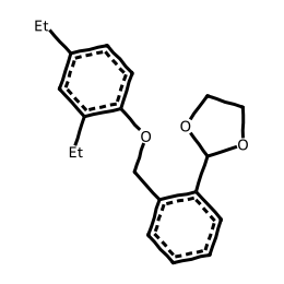 CCc1ccc(OCc2ccccc2C2OCCO2)c(CC)c1